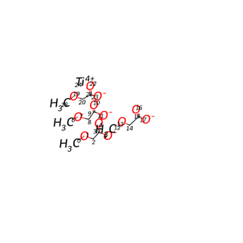 COCC(=O)[O-].COCC(=O)[O-].COCC(=O)[O-].COCC(=O)[O-].[Ti+4]